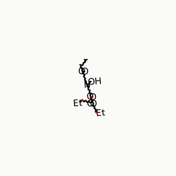 CC/C=C\CCCCOC(CCC(=O)OCCCCCCN(CCO)CCCCCCCC(=O)OCCC(C)CCC=C(C)C)OCCCC/C=C\CC